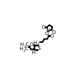 CC1(C)C[C@H]2CS[C@@H](CCCCC(=O)ON3C(=O)CCC3=O)[C@H]2O1